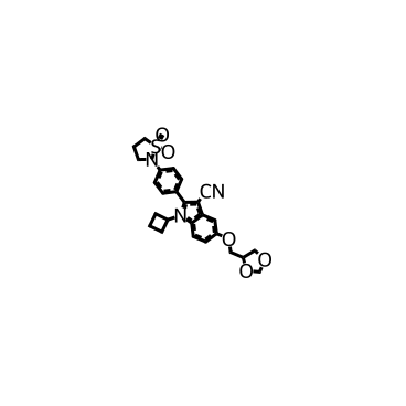 N#Cc1c(-c2ccc(N3CCCS3(=O)=O)cc2)n(C2CCC2)c2ccc(OCC3COCO3)cc12